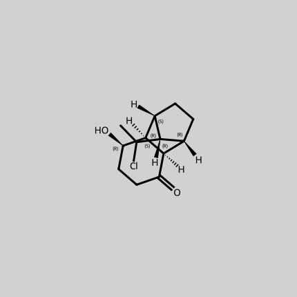 CC(Cl)[C@H]1[C@@H]2CC[C@H]1[C@H]1[C@@H]2C(=O)CC[C@H]1O